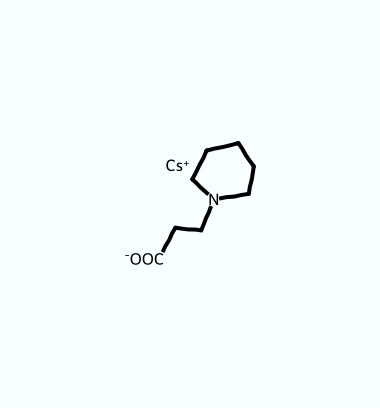 O=C([O-])CCN1CCCCC1.[Cs+]